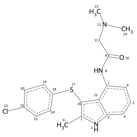 Cc1[nH]c2cccc(NC(=O)CN(C)C)c2c1Sc1ccc(Cl)cc1